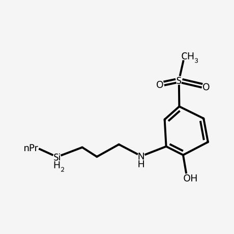 CCC[SiH2]CCCNc1cc(S(C)(=O)=O)ccc1O